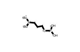 CC(C)(C)N(CCCOP(O)O)C(C)(C)C